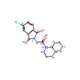 O=C1c2ccc(F)cc2C(=O)N1CC(=O)N1CCCC2CCCCC21